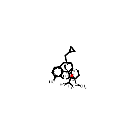 CO[C@]12CC[C@@]3(C[C@@H]1C(C)O)C1Cc4ccc(O)c5c4[C@@]3(CCN1CC1CC1)[C@H]2O5